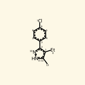 CCc1c(-c2ccc(Cl)cc2)n[nH]c1C